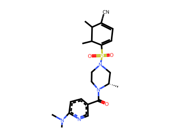 CC1C(C#N)=CC=C(S(=O)(=O)N2CCN(C(=O)c3ccc(N(C)C)nc3)[C@@H](C)C2)C1C